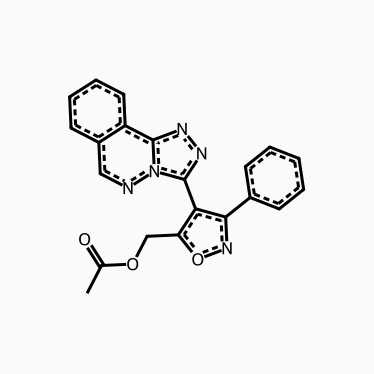 CC(=O)OCc1onc(-c2ccccc2)c1-c1nnc2c3ccccc3cnn12